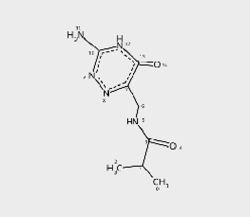 CC(C)C(=O)NCc1nnc(N)[nH]c1=O